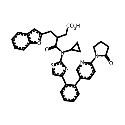 O=C(O)CC(Cc1cc2ccccc2o1)C(=O)N(c1nc(-c2ccccc2-c2ccc(N3CCCC3=O)nc2)cs1)C1CC1